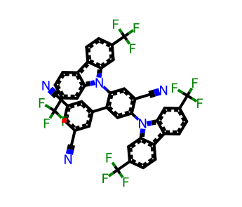 N#Cc1cc(C#N)cc(-c2cc(-n3c4cc(C(F)(F)F)ccc4c4ccc(C(F)(F)F)cc43)c(C#N)cc2-n2c3cc(C(F)(F)F)ccc3c3ccc(C(F)(F)F)cc32)c1